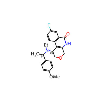 CCN([C@H](C)c1ccc(OC)cc1)[C@@H]1COCc2[nH]c(=O)c3cc(F)ccc3c21